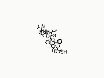 CC[C@H](C)C(C(CC(=O)N1CCC[C@H]1[C@H](OC)[C@@H](C)C(=O)N[C@@H](Cc1ccccc1)C(=O)C(C)(C)S)OC)N(C)C(=O)[C@@H](NC(=O)[C@H](C(C)C)N(C)C)C(C)C